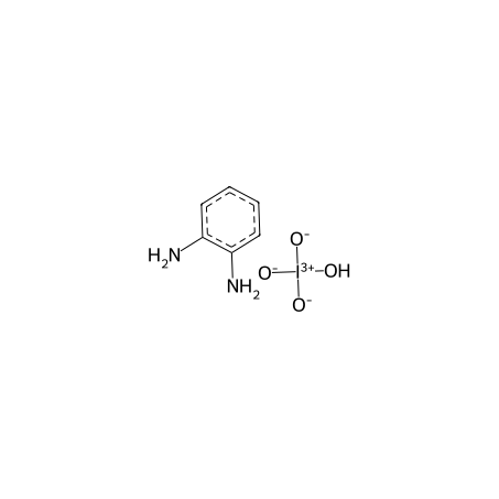 Nc1ccccc1N.[O-][I+3]([O-])([O-])O